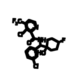 O=C(NC(c1cccc(Cl)c1)[C@]1(O)CC[C@@H](F)CC1)c1nccc(C(F)(F)F)c1Cl